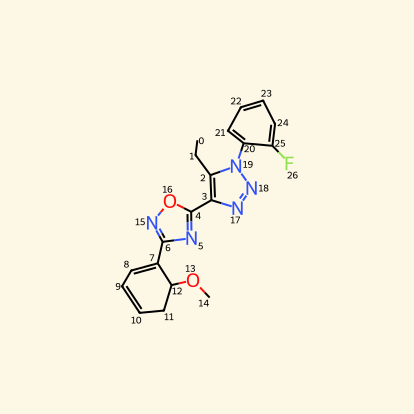 CCc1c(-c2nc(C3=CC=CCC3OC)no2)nnn1-c1ccccc1F